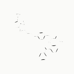 COC(=O)C(Cc1ccc(OCCCNC(C)C2(C(=O)C3CC3)CC2)cc1)Nc1ccccc1C(=O)c1ccccc1